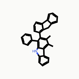 Cc1c(-c2cccc3c2Cc2ccccc2-3)c(-c2ccccc2)c2[nH]c3ccccc3c2c1C